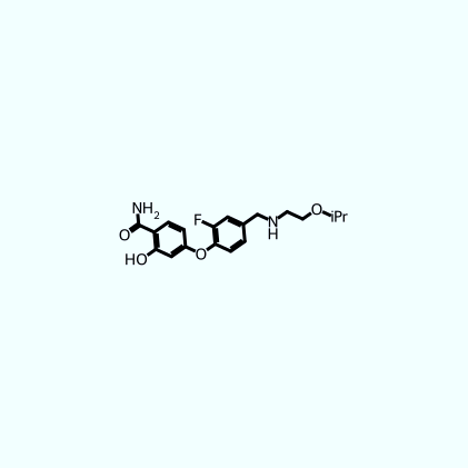 CC(C)OCCNCc1ccc(Oc2ccc(C(N)=O)c(O)c2)c(F)c1